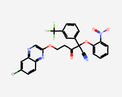 N#CC(Oc1ccccc1[N+](=O)[O-])(C(=O)CCOc1cnc2cc(Cl)ccc2n1)c1cccc(C(F)(F)F)c1